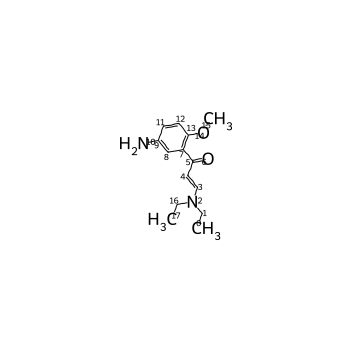 CCN(C=CC(=O)c1cc(N)ccc1OC)CC